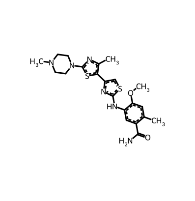 COc1cc(C)c(C(N)=O)cc1Nc1nc(-c2sc(N3CCN(C)CC3)nc2C)cs1